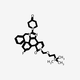 C[Si](C)(C)CCOCn1ccc2c3nc(N4CCC(=O)CC4)n(Cc4ccccc4)c3c3ccc(F)cc3c2c1=O